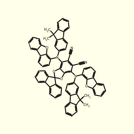 CC1(C)c2ccccc2-c2ccc(N(c3c(C#N)c(C#N)c(N(c4ccc5c(c4)C(C)(C)c4ccccc4-5)c4cccc5c4oc4ccccc45)c4c3OC3(O4)c4ccccc4-c4ccccc43)c3cccc4c3oc3ccccc34)cc21